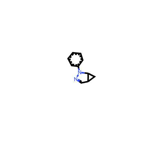 C1=NN(c2ccccc2)C2CC12